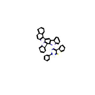 c1ccc(-c2nc(-n3c4ccccc4c4cc5c6c7ccccc7ccc6n6c7ccccc7c(c43)c56)c3c(n2)sc2ccccc23)cc1